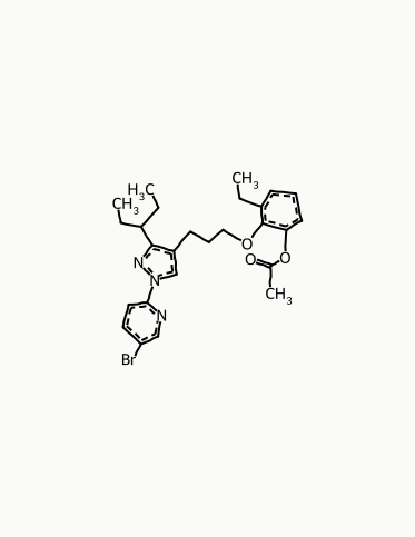 CCc1cccc(OC(C)=O)c1OCCCc1cn(-c2ccc(Br)cn2)nc1C(CC)CC